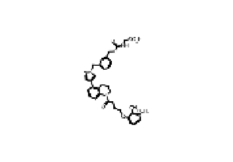 Cc1cccc(OCCCC(=O)N2CCCc3c(-c4cnn(Cc5cccc(COC(=O)NCS(=O)(=O)O)c5)c4)cccc32)c1C